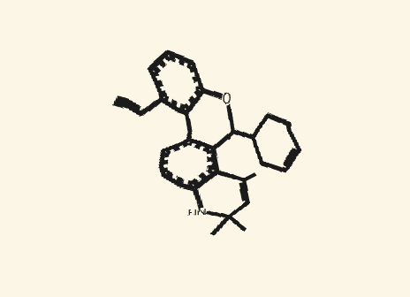 C=Cc1cccc2c1-c1ccc3c(c1C(C1CC=CCC1)O2)C(C)=CC(C)(C)N3